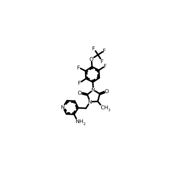 CC1C(=O)N(c2cc(F)c(OC(F)(F)F)c(F)c2F)C(=O)N1Cc1ccncc1N